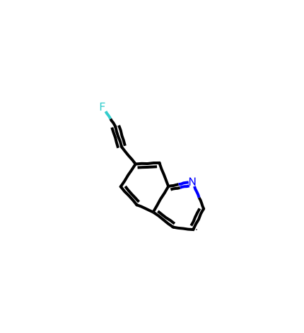 FC#Cc1ccc2c[c]cnc2c1